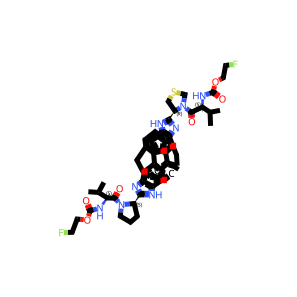 CC(C)[C@H](NC(=O)OCCF)C(=O)N1CCC[C@H]1c1nc2cc(-c3cc4ccc3CCc3ccc(c(-c5ccc6[nH]c([C@@H]7CSCN7C(=O)[C@@H](NC(=O)OCCF)C(C)C)nc6c5)c3)CC4)ccc2[nH]1